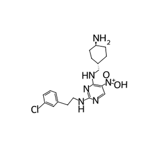 N[C@H]1CC[C@H](CNc2nc(NCCc3cccc(Cl)c3)ncc2[N+](=O)O)CC1